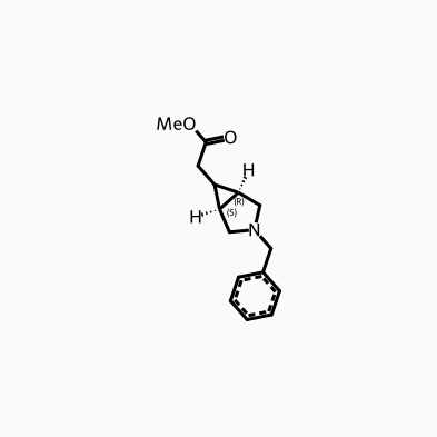 COC(=O)CC1[C@H]2CN(Cc3ccccc3)C[C@@H]12